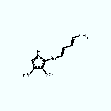 CC=CC=[CH][Ru][c]1[nH]cc(CCC)c1CCC